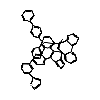 c1ccc(-c2ccc(N(c3ccc(-c4cccc(-c5ccco5)c4)cc3)c3ccc4c(c3)C3(c5ccccc5-c5ccccc5-4)c4ccccc4-c4c3c3ccccc3c3ccccc43)cc2)cc1